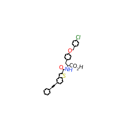 O=C(NC(Cc1ccc(OCc2ccc(Cl)cc2)cc1)C(=O)O)c1cc2cc(C#Cc3ccccc3)ccc2s1